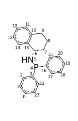 c1ccc(P(N[C@H]2CCCc3ccccc32)c2ccccc2)cc1